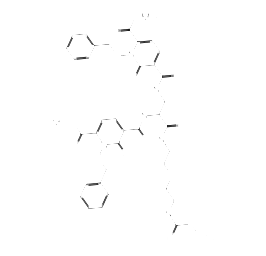 COC(=O)c1ccc(C(=O)NCC(NC(=O)c2ccc(C(=O)OC)n(OCc3ccccc3)c2=O)C(=O)NCCOCCNC(=O)OC(C)(C)C)c(=O)n1OCc1ccccc1